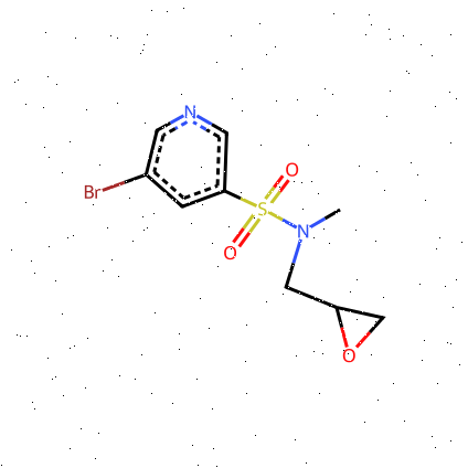 CN(CC1CO1)S(=O)(=O)c1cncc(Br)c1